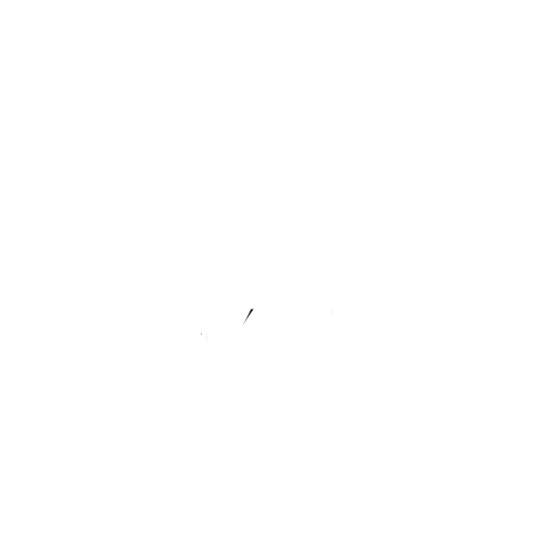 O=C(O)c1ccc(CCN2C(=O)OCC[C@@H]2CCC(O)C(F)(F)c2ccccc2)cc1